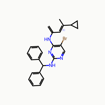 C=C(/C=C(\C)C1CC1)Nc1nc(NC(c2ccccc2)c2ccccc2)ncc1Br